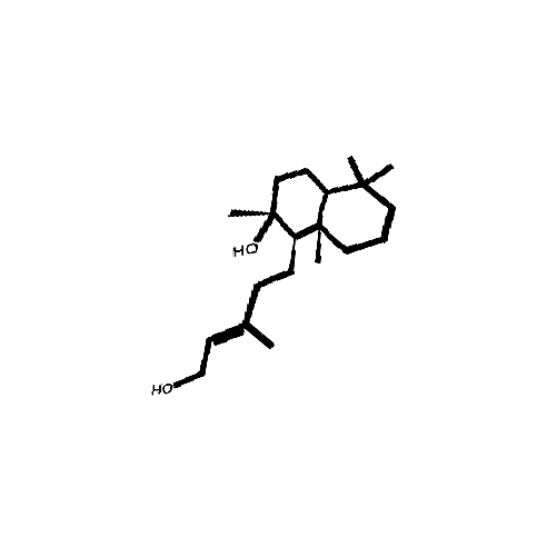 C/C(=C\CO)CC[C@@H]1[C@@]2(C)CCCC(C)(C)C2CC[C@@]1(C)O